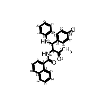 CC(=O)C(NC(=O)c1cccc2ccccc12)C(Nc1ccccc1)c1ccc(Cl)cc1